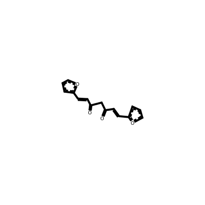 O=C(/C=C/c1ccco1)CC(=O)/C=C/c1ccco1